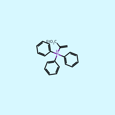 C=C(C(=O)OCC)[PH](c1ccccc1)(c1ccccc1)c1ccccc1